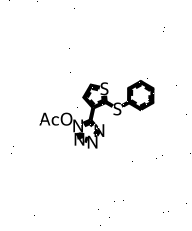 CC(=O)On1nnnc1-c1ccsc1Sc1ccccc1